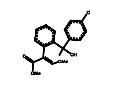 CO/C=C(/C(=O)OC)c1ccccc1C(C)(O)c1ccc(Cl)cc1